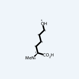 CN[C@@H](CCCCO)C(=O)O